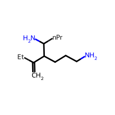 C=C(CC)C(CCCN)C(N)CCC